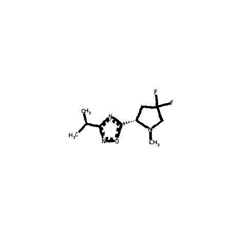 CC(C)c1noc([C@@H]2CC(F)(F)CN2C)n1